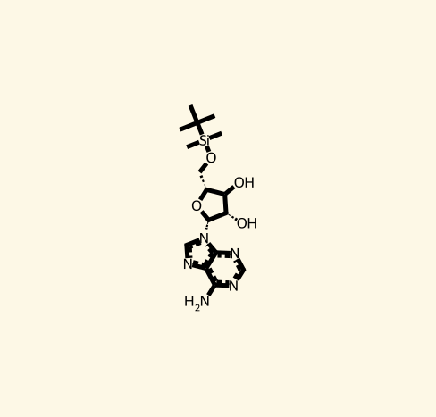 CC(C)(C)[Si](C)(C)OC[C@H]1O[C@@H](n2cnc3c(N)ncnc32)[C@@H](O)C1O